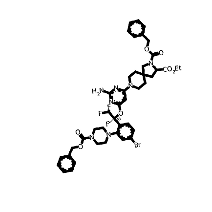 CCOC(=O)C1CC2(CCN(c3cc(O[C@@](F)(c4ccc(Br)cc4N4CCN(C(=O)OCc5ccccc5)CC4)C(F)F)nc(N)n3)CC2)CN1C(=O)OCc1ccccc1